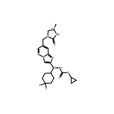 C[C@@H]1CN(Cc2cnn3cc([C@@H](NC(=O)OC4CC4)C4CCC(F)(F)CC4)nc3c2)C(=O)N1